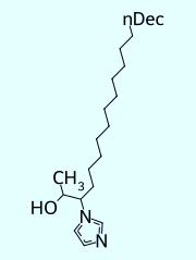 CCCCCCCCCCCCCCCCCCCCCC(C(C)O)n1ccnc1